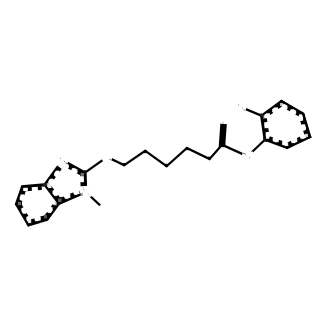 Cn1c(SCCCCCC(=O)Nc2ccccc2N)nc2ccccc21